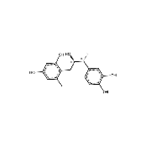 Cc1cc(O)cc(O)c1C[C@@H](O)[C@H](C)c1ccc(O)c(O)c1